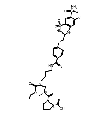 CCOC(=O)[C@H](CCCCNC(=O)c1ccc(OCC2Nc3cc(Cl)c(S(N)(=O)=O)cc3S(=O)(=O)N2)cc1)N[C@@H](C)C(=O)N1CCC[C@H]1C(=O)O